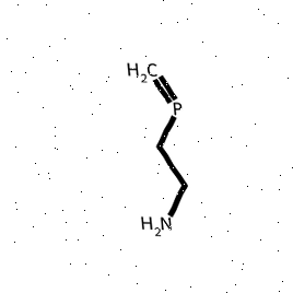 C=PCCN